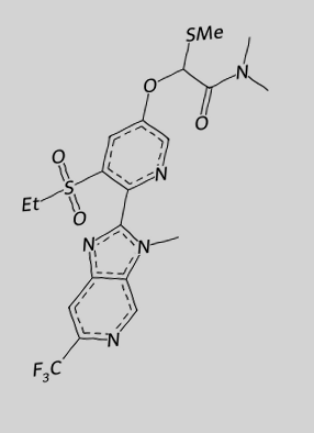 CCS(=O)(=O)c1cc(OC(SC)C(=O)N(C)C)cnc1-c1nc2cc(C(F)(F)F)ncc2n1C